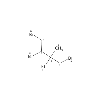 CCC(C)(CBr)C(Br)CBr